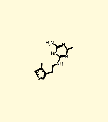 Cc1cscc1CCNC1=NC(C)N=C(N)N1